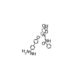 N=C(N)c1ccc(-c2ccc(OC[C@@H]3C[C@@H](CC(=O)O)C(=O)N3CCNC(=O)c3ccccc3)cc2)cc1